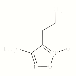 CCOC(=O)c1no[n+]([O-])c1CCC(F)(F)F